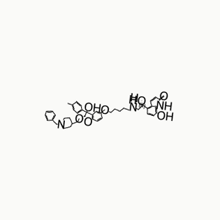 Cc1ccc(C(O)(C(=O)OCC2CCN(Cc3ccccc3)CC2)c2cccc(OCCCCCNC[C@H](O)c3ccc(O)c4[nH]c(=O)ccc34)c2)cc1